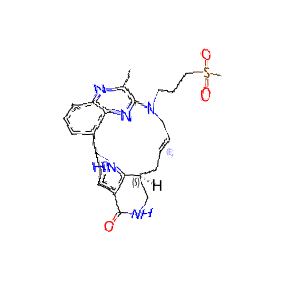 Cc1nc2cccc3c2nc1N(CCCS(C)(=O)=O)C/C=C/C[C@H]1CNC(=O)c2cc-3[nH]c21